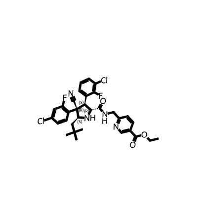 CCOC(=O)c1ccc(CNC(=O)[C@@H]2N[C@@H](CC(C)(C)C)[C@](C#N)(c3ccc(Cl)cc3F)[C@H]2c2cccc(Cl)c2F)nc1